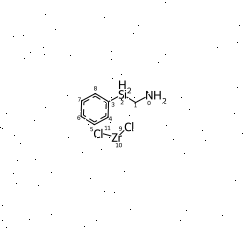 NC[SiH2]c1ccccc1.[Cl][Zr][Cl]